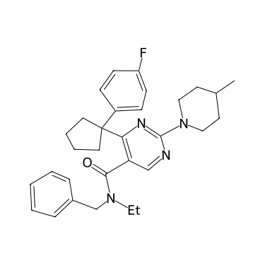 CCN(Cc1ccccc1)C(=O)c1cnc(N2CCC(C)CC2)nc1C1(c2ccc(F)cc2)CCCC1